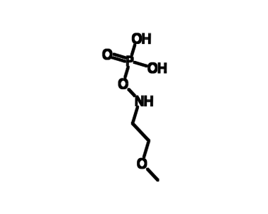 COCCNOP(=O)(O)O